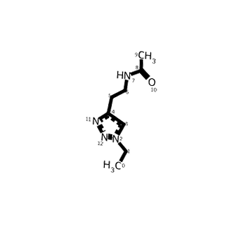 CCn1cc(CCNC(C)=O)nn1